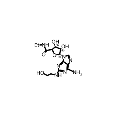 CCNC(=O)C1O[C@@H](n2cnc3c(N)nc(NCCO)nc32)[C@H](O)[C@@H]1O